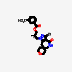 CCc1nn(C[C@@H](C)COC(=O)c2cccc(C(=O)O)c2)c2c1C(=O)NCC1(CCOCC1)C2